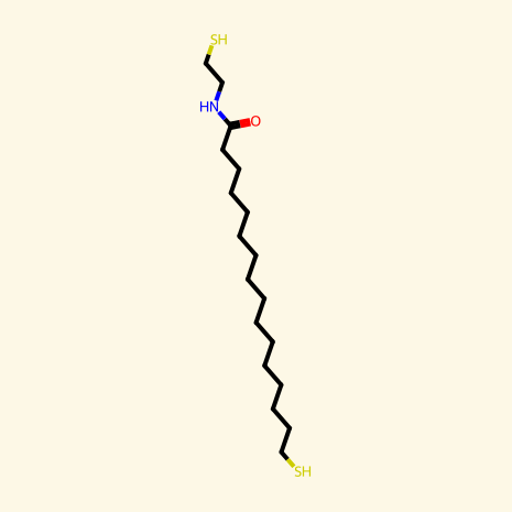 O=C(CCCCCCCCCCCCCCCS)NCCS